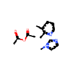 CC(=O)OC(C)=O.Cc1cccnc1C.Cn1ccnc1